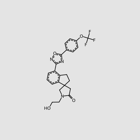 O=C1CC2(CCc3c(-c4noc(-c5ccc(OC(F)(F)F)cc5)n4)cccc32)CN1CCO